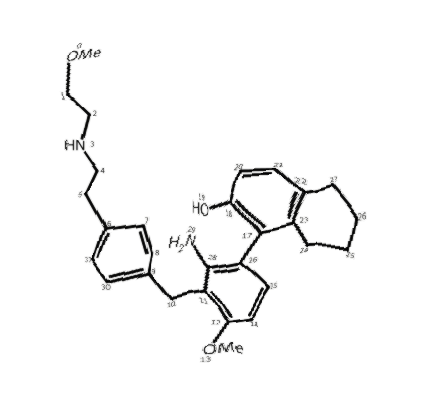 COCCNCCc1ccc(Cc2c(OC)ccc(-c3c(O)ccc4c3CCCC4)c2N)cc1